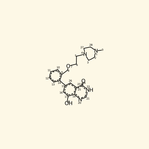 CN1CCN(CCOCc2ccccc2-c2cc(O)c3nc[nH]c(=O)c3c2)CC1